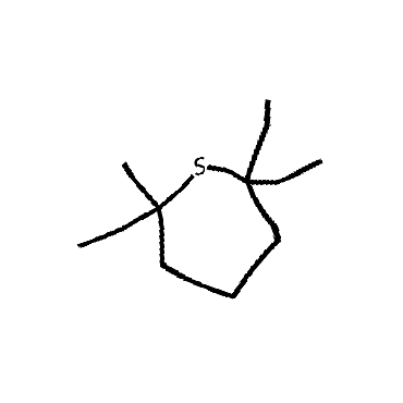 CC1(C)CCCC(C)(C)S1